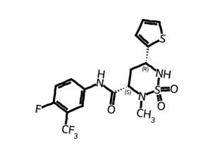 CN1[C@H](C(=O)Nc2ccc(F)c(C(F)(F)F)c2)C[C@H](c2cccs2)NS1(=O)=O